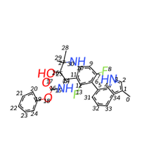 Cc1c[nH]c2c(-c3c(F)cc4c(c3F)[C@H](NC(=O)Oc3ccccc3)C(O)C(C)(C)N4)cccc12